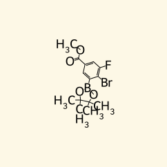 COC(=O)c1cc(F)c(Br)c(B2OC(C)(C)C(C)(C)O2)c1